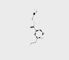 CCCc1cc(C(=S)NCC#N)ccn1